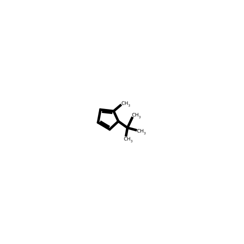 CC1=CC=C[C]1C(C)(C)C